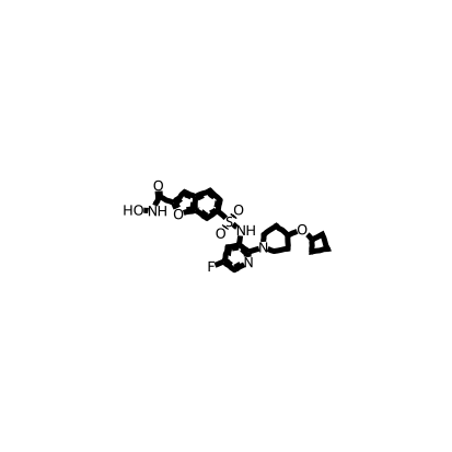 O=C(NO)c1cc2ccc(S(=O)(=O)Nc3cc(F)cnc3N3CCC(OC4CCC4)CC3)cc2o1